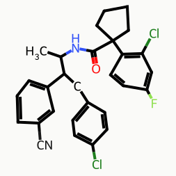 CC(NC(=O)C1(c2ccc(F)cc2Cl)CCCC1)C(Cc1ccc(Cl)cc1)c1cccc(C#N)c1